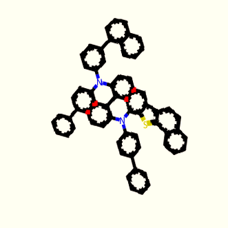 c1ccc(-c2ccc(N(c3cccc(-c4cccc5ccccc45)c3)c3ccccc3-c3ccccc3N(c3ccc(-c4ccccc4)cc3)c3cccc4c3sc3c5ccccc5ccc43)cc2)cc1